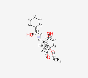 O=C1C[C@H]2[C@H](/C=C/[C@H](O)C3CCCCC3)[C@@H](O)CC[C@@]12OCC(F)(F)F